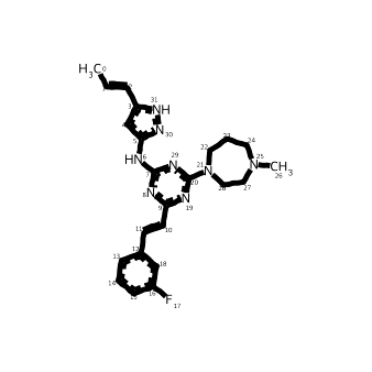 C/C=C/c1cc(Nc2nc(/C=C/c3cccc(F)c3)nc(N3CCCN(C)CC3)n2)n[nH]1